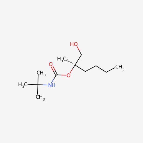 CCCC[C@](C)(CO)OC(=O)NC(C)(C)C